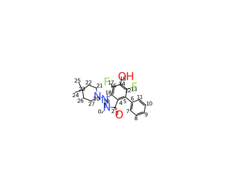 Cn1c(=O)c2c(-c3ccccc3)c(F)c(O)c(F)c2n1N1CCC(C)(C)CC1